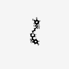 O=S(=O)(NCCCN1CCC(c2noc3cc(F)ccc23)CC1)c1ccc(F)c(F)c1